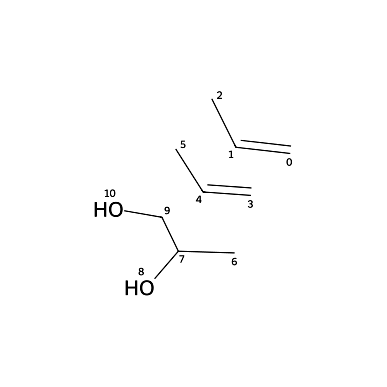 C=CC.C=CC.CC(O)CO